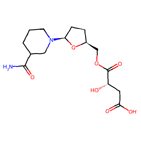 NC(=O)C1CCCN([C@H]2CC[C@@H](COC(=O)[C@@H](O)CC(=O)O)O2)C1